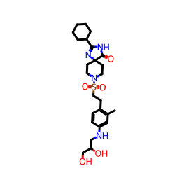 Cc1cc(NCC(O)CO)ccc1CCS(=O)(=O)N1CCC2(CC1)N=C(C1CCCCC1)NC2=O